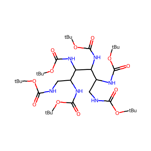 CC(C)(C)OC(=O)NCC(NC(=O)OC(C)(C)C)C(NC(=O)OC(C)(C)C)C(NC(=O)OC(C)(C)C)C(CNC(=O)OC(C)(C)C)NC(=O)OC(C)(C)C